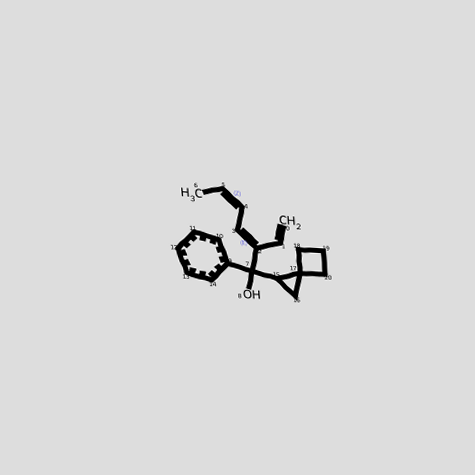 C=C/C(=C\C=C/C)C(O)(c1ccccc1)C1CC12CCC2